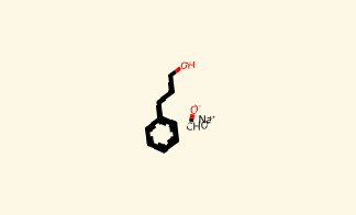 O=C[O-].OCCCc1ccccc1.[Na+]